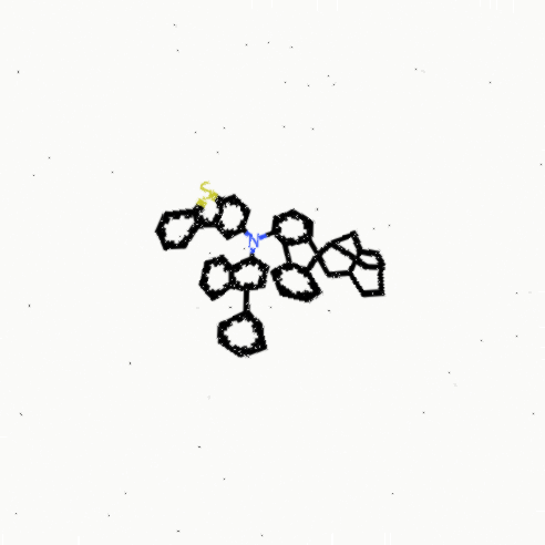 c1ccc(-c2ccc(N(c3ccc4sc5ccccc5c4c3)c3cccc4c3-c3ccccc3C43CC4CCC5CC4CC3C5)c3ccccc23)cc1